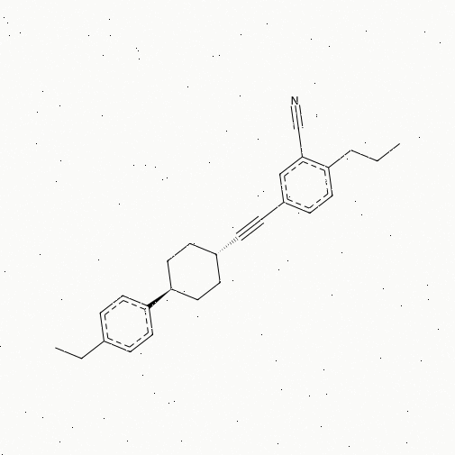 CCCc1ccc(C#C[C@H]2CC[C@H](c3ccc(CC)cc3)CC2)cc1C#N